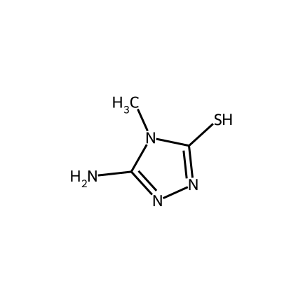 Cn1c(N)nnc1S